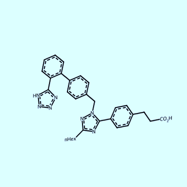 CCCCCCc1nc(-c2ccc(CCC(=O)O)cc2)n(Cc2ccc(-c3ccccc3-c3nnn[nH]3)cc2)n1